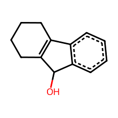 OC1C2=C(CCCC2)c2ccccc21